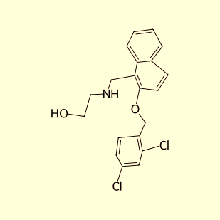 OCCNCc1c(OCc2ccc(Cl)cc2Cl)ccc2ccccc12